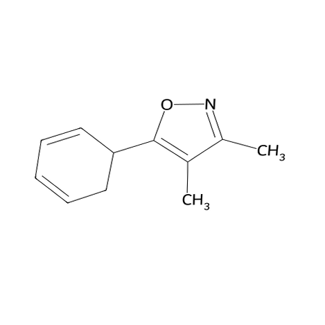 Cc1noc(C2C=CC=CC2)c1C